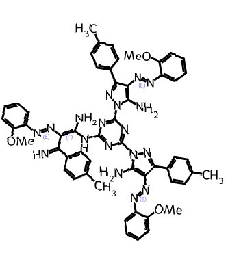 COc1ccccc1/N=N/C(C(=N)c1ccc(C)cc1)=C(\N)Nc1nc(-n2nc(-c3ccc(C)cc3)c(/N=N/c3ccccc3OC)c2N)nc(-n2nc(-c3ccc(C)cc3)c(/N=N/c3ccccc3OC)c2N)n1